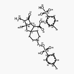 CN1CCC2(CC1)S[C@@H]1C(N)C(=O)N1C2C(=O)O.Cc1ccc(S(=O)(=O)O)cc1.Cc1ccc(S(=O)(=O)O)cc1